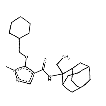 Cn1ncc(C(=O)NC2(CN)C3CC4CC(C3)CC2C4)c1OCC1CCCCC1